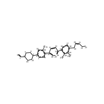 C=CC1CCC(c2ccc(C(/C=C\C(=C)c3ccc(C/C=C\CC)c(F)c3F)=C/C)c(F)c2)CC1